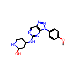 COc1ccc(-n2nnc3cnc(NC4CCNC(O)C4)nc32)cc1